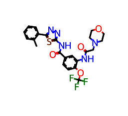 Cc1ccccc1-c1nnc(NC(=O)c2ccc(OC(F)(F)F)c(NC(=O)CN3CCOCC3)c2)s1